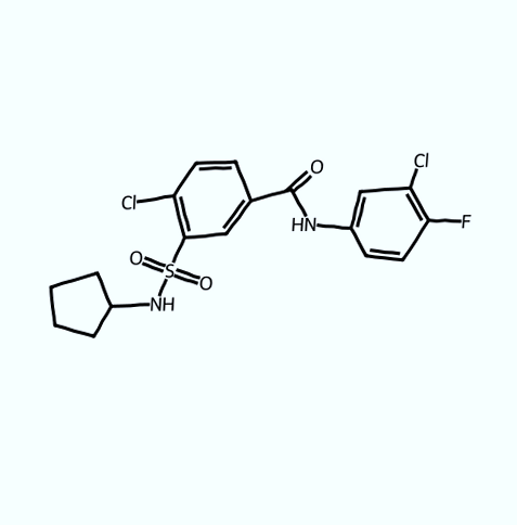 O=C(Nc1ccc(F)c(Cl)c1)c1ccc(Cl)c(S(=O)(=O)NC2CCCC2)c1